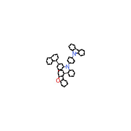 c1cc(-c2cccc3ccccc23)cc(N(c2ccc(-n3c4ccccc4c4ccccc43)cc2)c2ccccc2-c2cccc3oc4ccccc4c23)c1